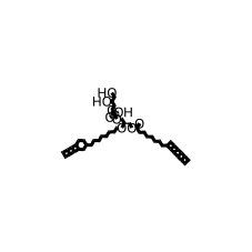 O=C(CCCCCCCC1CC2C1C1C3C4CCC4C3C21)OC[C@H](COP(=O)(O)OC[C@@H](O)CO)OCCCCCCCCC1CCC2C(C1)C1C3CCC3C21